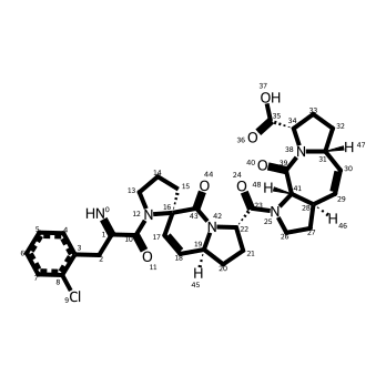 N=C(Cc1ccccc1Cl)C(=O)N1CCC[C@]12C=C[C@@H]1CC[C@@H](C(=O)N3CC[C@@H]4C=C[C@H]5CC[C@@H](C(=O)O)N5C(=O)[C@H]43)N1C2=O